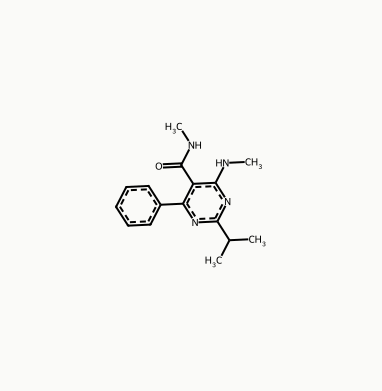 CNC(=O)c1c(NC)nc(C(C)C)nc1-c1ccccc1